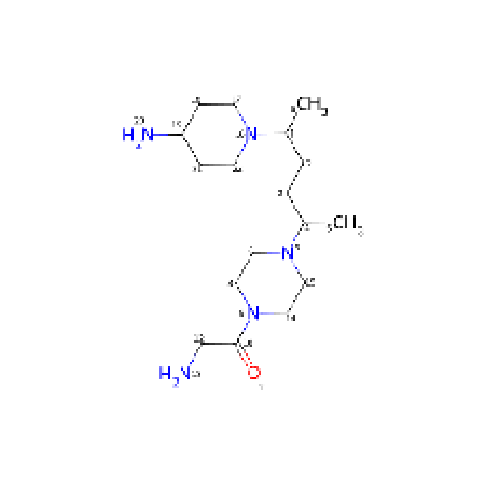 CC(CCC(C)N1CCN(C(=O)CN)CC1)N1CCC(N)CC1